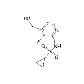 O=S(=O)(Nc1nccc(CO)c1F)C1CC1